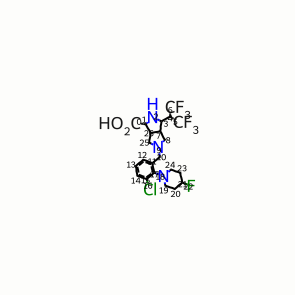 O=C(O)C1NC(C(C(F)(F)F)C(F)(F)F)C2CN(Cc3cccc(Cl)c3N3CCC(F)CC3)CC12